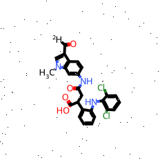 [2H]C(=O)c1cn(C)c2cc(NC(=O)CC(C(=O)O)c3ccccc3Nc3c(Cl)cccc3Cl)ccc12